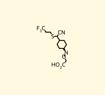 N#CC(SCCC(F)(F)F)C1CCC(=NOCC(=O)O)CC1